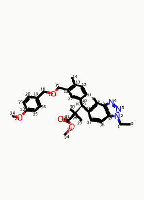 CCn1nnc2c(C)c([C@H](c3ccc(C)c(COCc4ccc(OC)cc4)c3)C(C)(C)C(=O)OC)ccc21